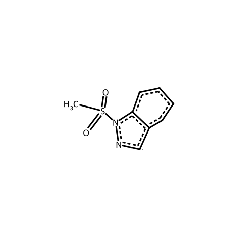 CS(=O)(=O)n1n[c]c2ccccc21